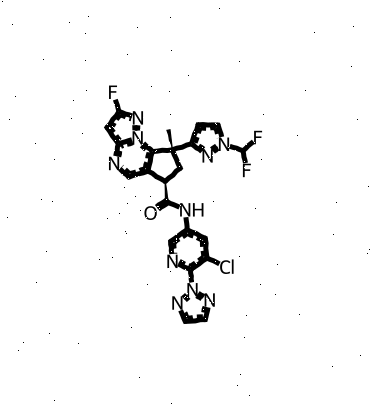 C[C@@]1(c2ccn(C(F)F)n2)C[C@@H](C(=O)Nc2cnc(-n3nccn3)c(Cl)c2)c2cnc3cc(F)nn3c21